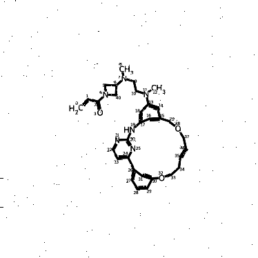 C=CC(=O)N1CC(N(C)CCN(C)c2cc3cc(c2)Nc2nccc(n2)-c2cccc(c2)OCC/C=C/COC3)C1